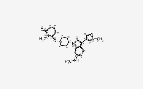 CNc1cc2c(cn1)c(-c1cnn(C)c1)nn2[C@H]1CC[C@@H](Oc2cccc(=O)n2C)CC1